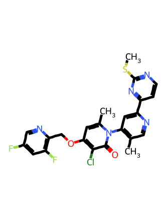 CSc1nccc(-c2cc(-n3c(C)cc(OCc4ncc(F)cc4F)c(Cl)c3=O)c(C)cn2)n1